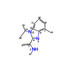 C=C(NC)c1nc2c(C)cccc2n1C(C)C